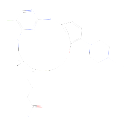 C[C@H]1CNc2nc(ncc2F)Nc2ccc(N3CCN(C)CC3)c(c2)OCCS[C@@H]1CCCC(N)=O